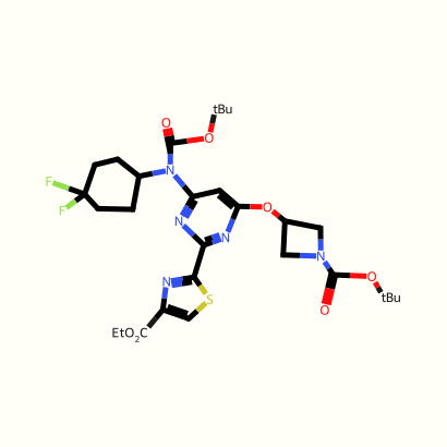 CCOC(=O)c1csc(-c2nc(OC3CN(C(=O)OC(C)(C)C)C3)cc(N(C(=O)OC(C)(C)C)C3CCC(F)(F)CC3)n2)n1